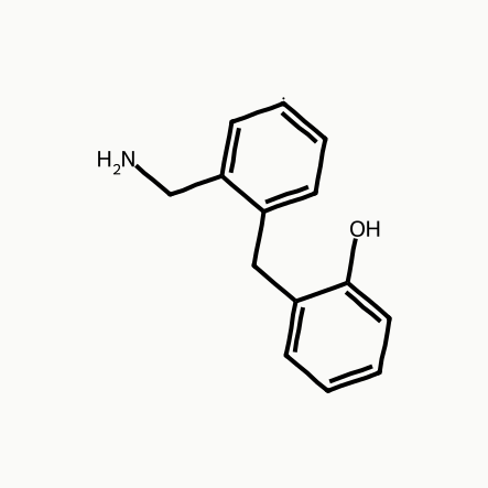 NCc1c[c]ccc1Cc1ccccc1O